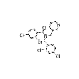 O=C(c1ccc(Cl)cc1Br)N(Cc1cccnc1)Cc1ccc(Cl)cc1Cl